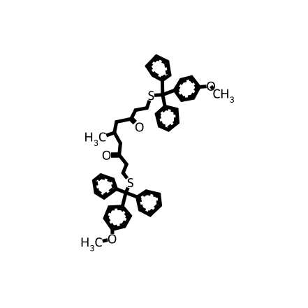 COc1ccc(C(SCCC(=O)CC(C)CC(=O)CCSC(c2ccccc2)(c2ccccc2)c2ccc(OC)cc2)(c2ccccc2)c2ccccc2)cc1